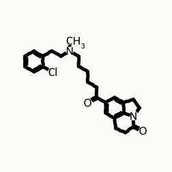 CN(CCCCCC(=O)c1cc2c3c(c1)CCN3C(=O)CC2)CCc1ccccc1Cl